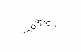 CC(C)OCCNc1ccc(-n2ncc3c(=O)n(CC4(O)CCN(C(=O)N(C)C)CC4)cnc32)cc1